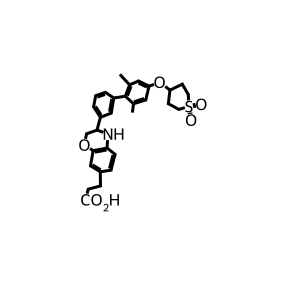 Cc1cc(OC2CCS(=O)(=O)CC2)cc(C)c1-c1cccc(C2COc3cc(CCC(=O)O)ccc3N2)c1